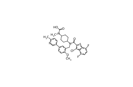 COc1ccc(-c2ccc(C)nc2)cc1CN(C(=O)c1sc2c(F)ccc(F)c2c1Cl)C1CCC(N(C)C(=O)O)CC1